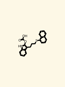 O=C(O)Oc1[nH]c2ccccc2c1CCCSc1cccc2ccccc12